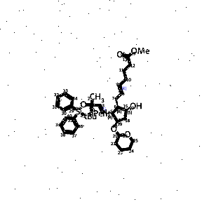 CCCCCC(C)(/C=C/[C@@H]1[C@@H](C/C=C/CCCC(=O)OC)[C@@H](O)C[C@H]1OC1CCCCO1)O[Si](c1ccccc1)(c1ccccc1)C(C)(C)C